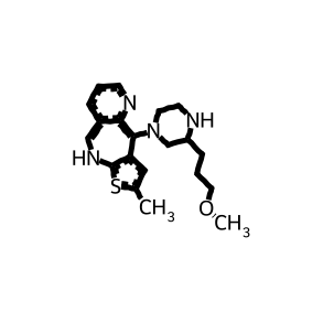 COCCCC1CN(C2=c3ncccc3=CNc3sc(C)cc32)CCN1